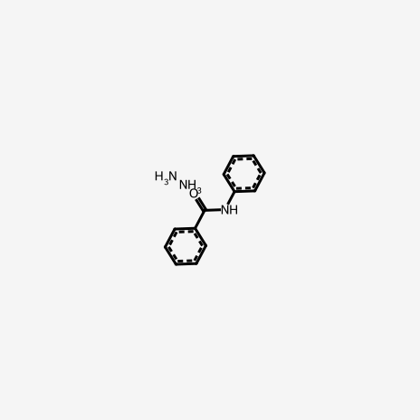 N.N.O=C(Nc1ccccc1)c1ccccc1